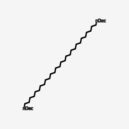 CCCCCCCCCCCCCCCCCCCCCCCCCCCCCCCCCCCCCCCCCCCCCCCC